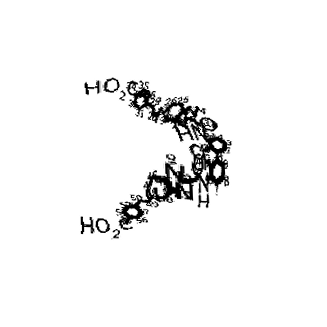 Cn1c(C(=O)Nc2cccc(-c3cccc(NC(=O)c4nc5c(n4C)CCN(CCC46CCC(C(=O)O)(CC4)C6)C5)c3Cl)c2Cl)nc2c1CCN(CCc1ccc(C(=O)O)cc1)C2